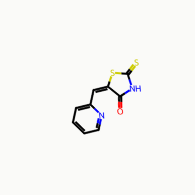 O=C1NC(=S)SC1=Cc1ccccn1